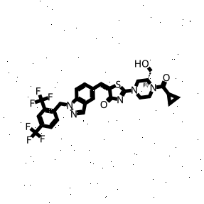 O=C1N=C(N2CCN(C(=O)C3CC3)[C@@H](CO)C2)SC1=Cc1ccc2c(cnn2Cc2ccc(C(F)(F)F)cc2C(F)(F)F)c1